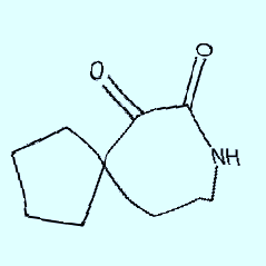 O=C1NCCC2(CCCC2)C1=O